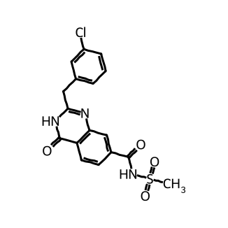 CS(=O)(=O)NC(=O)c1ccc2c(=O)[nH]c(Cc3cccc(Cl)c3)nc2c1